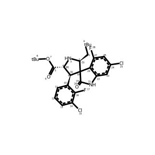 CC(C)(C)C[C@@H]1N[C@@H](C(=O)OC(C)(C)C)[C@H](c2cccc(Cl)c2F)C12C(=O)Nc1cc(Cl)cc(F)c12